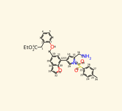 CCOC(=O)Cc1ccccc1OCc1cc(-c2cc(CN)n(S(=O)(=O)c3ccc(C)cc3)c2)c2occc2c1